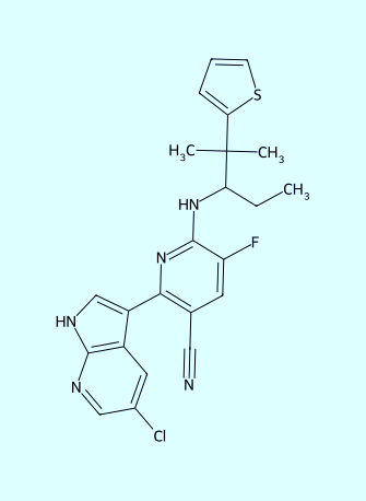 CCC(Nc1nc(-c2c[nH]c3ncc(Cl)cc23)c(C#N)cc1F)C(C)(C)c1cccs1